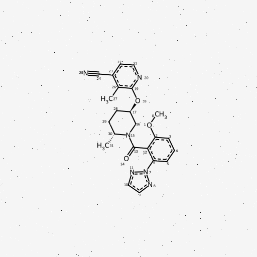 COc1cccc(-n2nccn2)c1C(=O)N1C[C@H](Oc2nccc(C#N)c2C)CC[C@H]1C